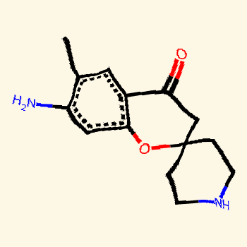 Cc1cc2c(cc1N)OC1(CCNCC1)CC2=O